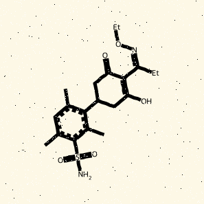 CCO/N=C(/CC)C1=C(O)CC(c2c(C)cc(C)c(S(N)(=O)=O)c2C)CC1=O